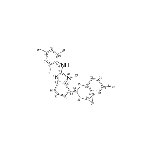 Cc1cc(C)c(Nc2nc3cccc(N(Cc4ccc(F)cc4)CC4CC4)c3n2C)c(C)c1